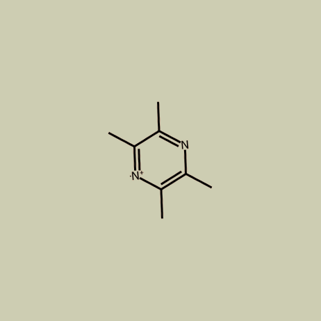 CC1=NC(C)=C(C)[N+]=C1C